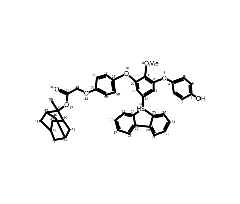 COc1c(Oc2ccc(O)cc2)cc([SH]2c3ccccc3-c3ccccc32)cc1Oc1ccc(OCC(=O)OC2(C)C3CC4CC(C3)CC2C4)cc1